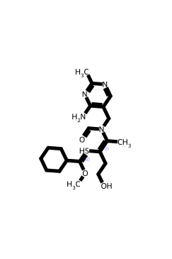 CO/C(=[SH]\C(CCO)=C(\C)N(C=O)Cc1cnc(C)nc1N)C1CCCCC1